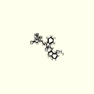 Cc1cccc2scc(Cn3c(=O)n(CCN4CC(=O)NS4(=O)=O)c4ccccc43)c12